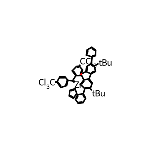 CC(C)(C)c1cc2c(cc1-c1ccccc1)Cc1c-2cc(C(C)(C)C)c(-c2ccccc2)[c]1[Zr]([C]1=CC=CC1)=[C](c1ccc(C(Cl)(Cl)Cl)cc1)c1ccc(C(Cl)(Cl)Cl)cc1